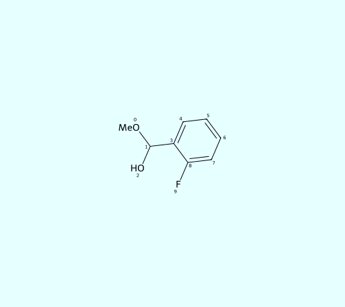 COC(O)c1ccccc1F